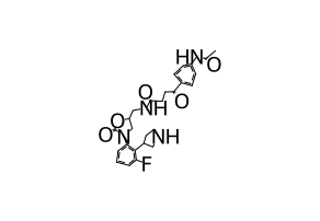 CC(=O)Nc1ccc(C(=O)CCC(=O)NCC2CN(c3cccc(F)c3C3CCNC3)C(=O)O2)cc1